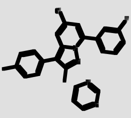 Cc1ccc(-c2c(C)nn3c(-c4cccc(F)c4)cc(Cl)cc23)cc1.c1cncnc1